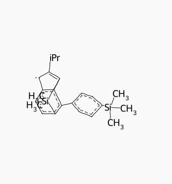 CC(C)C1=C2c3c(ccc(c3-c3ccc([Si](C)(C)C)cc3)[Si]2(C)C)[CH]1